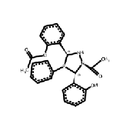 CC(=O)Oc1ccccc1[C@H]1NN(C(C)=O)[C@H](c2ccccc2O)P1c1ccccc1